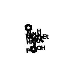 CCC(Nc1nc(NCc2cc(F)ccc2O)c2ncn(C3CCCCC3)c2n1)C(C)O